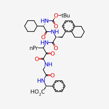 CCCC(NC(=O)[C@H](Cc1cccc2c1CCCC2)NC(=O)[C@@H](NC(=O)OC(C)(C)C)C1CCCCC1)C(=O)C(=O)NCC(=O)N[C@H](C(=O)O)c1ccccc1